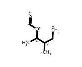 CCC(C)C(C)OC=S